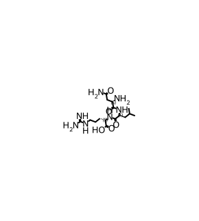 CC(C)C[C@H](NC(=O)[C@@H](N)CC(N)=O)C(=O)N[C@@H](CCCNC(=N)N)C(=O)O